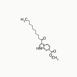 CCCCCCCCCC(=O)c1c[nH]c2cc(C(=O)OC)ccc12